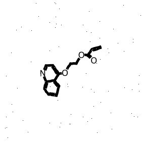 C=CC(=O)OCCOc1ccnc2ccccc12